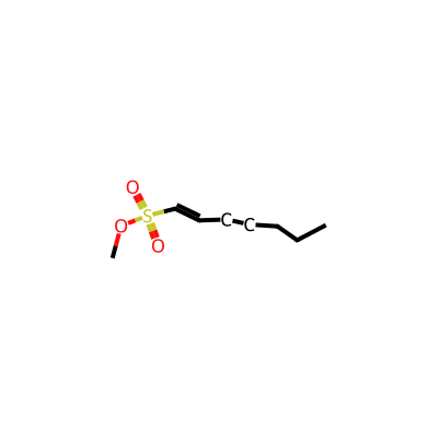 CCCCC/C=C/S(=O)(=O)OC